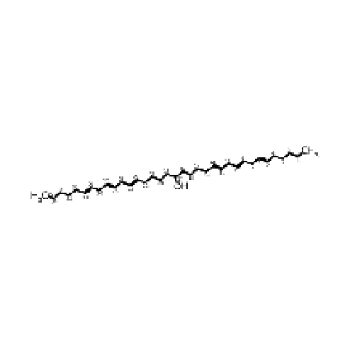 CCCCCC=CCC=CCC=CCCCCC(O)CCCCC=CCC=CCC=CCCCCC